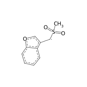 CS(=O)(=O)[CH]c1coc2ccccc12